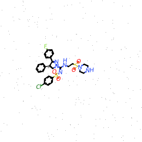 O=S(=O)(N=C(NCCS(=O)(=O)N1CCNCC1)N1C[C@@H](c2ccccc2)C(c2ccc(F)cc2)=N1)c1ccc(Cl)cc1